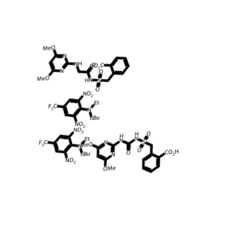 CCCCN(CC)c1c([N+](=O)[O-])cc(C(F)(F)F)cc1[N+](=O)[O-].CCCCN(CC)c1c([N+](=O)[O-])cc(C(F)(F)F)cc1[N+](=O)[O-].COc1cc(OC)nc(NC(=O)NS(=O)(=O)Cc2ccccc2C(=O)O)n1.COc1cc(OC)nc(NCC(=O)NS(=O)(=O)Cc2ccccc2C(=O)O)n1